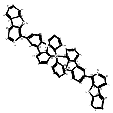 c1ccc([Si](c2ccccc2)(c2cccc3c2oc2ccc(-c4nccc5c4oc4ccccc45)cc23)c2cccc3c2sc2ccc(-c4nccc5c4sc4ccccc45)cc23)cc1